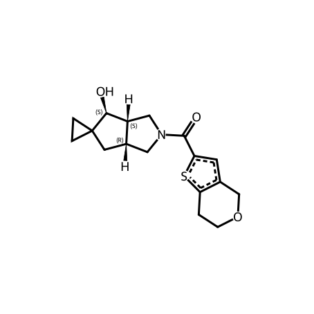 O=C(c1cc2c(s1)CCOC2)N1C[C@@H]2CC3(CC3)[C@@H](O)[C@@H]2C1